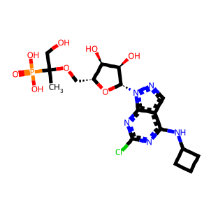 CC(CO)(OC[C@H]1O[C@@H](n2ncc3c(NC4CCC4)nc(Cl)nc32)[C@H](O)[C@@H]1O)P(=O)(O)O